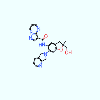 CC1(CO)Cc2cc(NC(=O)c3cnn4cccnc34)c(N3Cc4cccnc4C3)cc2O1